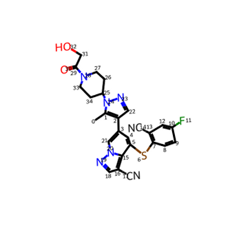 Cc1c(-c2cc(Sc3ccc(F)cc3C#N)c3c(C#N)cnn3c2)cnn1C1CCN(C(=O)CO)CC1